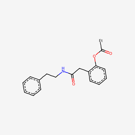 CCC(=O)Oc1ccccc1CC(=O)NCCc1ccccc1